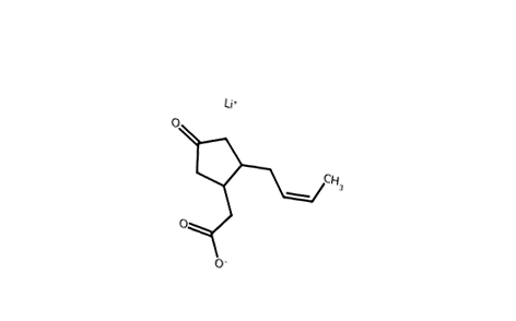 C/C=C\CC1CC(=O)CC1CC(=O)[O-].[Li+]